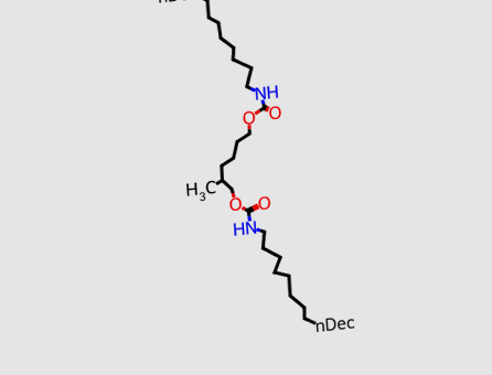 CCCCCCCCCCCCCCCCCCNC(=O)OCCCCC(C)COC(=O)NCCCCCCCCCCCCCCCCCC